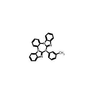 Cc1cccc(-n2c3nc4ccccc4n3c3ccccc3n3c4ccccc4nc23)c1